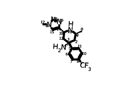 C[C@H]1C[C@@](N)(c2ccc(C(F)(F)F)cc2)C[C@@H](c2cn(C)nn2)N1